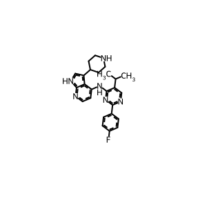 CC(C)c1cnc(-c2ccc(F)cc2)nc1Nc1ccnc2[nH]cc(C3CCNCC3)c12